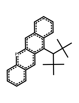 CC(C)(C)C(c1c2ccccc2cc2pc3ccccc3cc12)C(C)(C)C